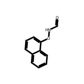 O=[C]NOc1cccc2ccccc12